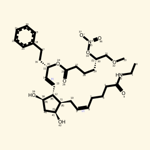 CCNC(=O)CCC/C=C\C[C@@H]1[C@@H](/C=C/[C@H](CCc2ccccc2)OC(=O)CCC[C@@H](COC)O[N+](=O)[O-])[C@H](O)C[C@@H]1O